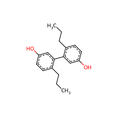 CCCc1ccc(O)cc1-c1cc(O)ccc1CCC